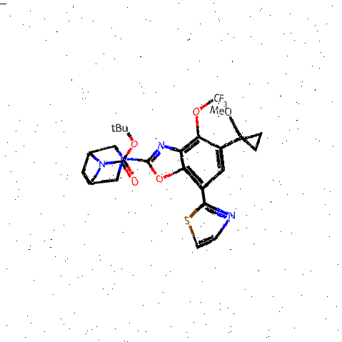 COC1(c2cc(-c3nccs3)c3oc(N4CC5CC(C4)N5C(=O)OC(C)(C)C)nc3c2OC(F)(F)F)CC1